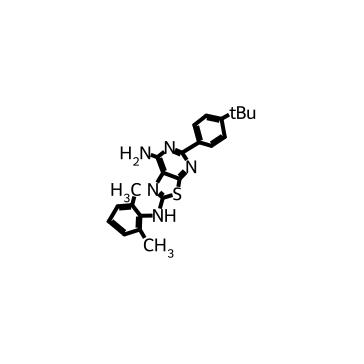 Cc1cccc(C)c1Nc1nc2c(N)nc(-c3ccc(C(C)(C)C)cc3)nc2s1